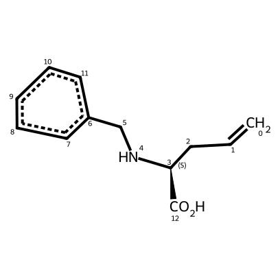 C=CC[C@H](NCc1ccccc1)C(=O)O